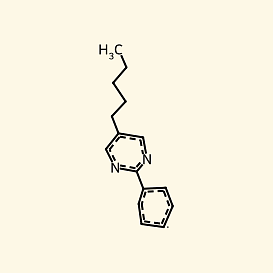 CCCCCc1cnc(-c2cc[c]cc2)nc1